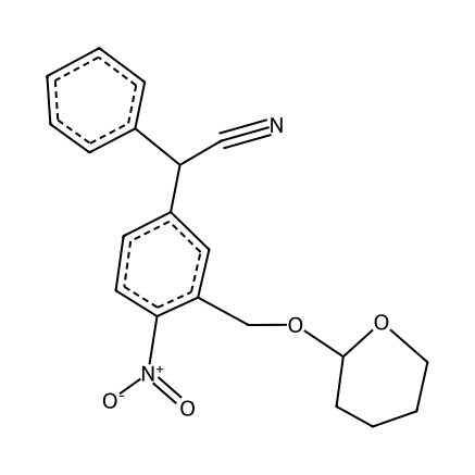 N#CC(c1ccccc1)c1ccc([N+](=O)[O-])c(COC2CCCCO2)c1